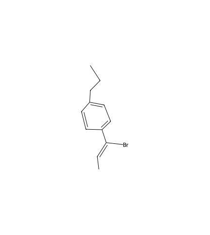 CC=C(Br)c1ccc(CCC)cc1